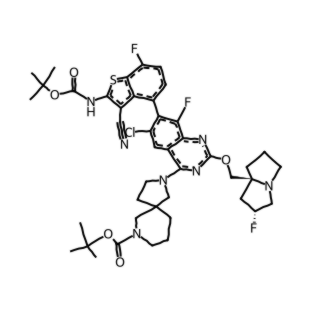 CC(C)(C)OC(=O)Nc1sc2c(F)ccc(-c3c(Cl)cc4c(N5CCC6(CCCN(C(=O)OC(C)(C)C)C6)C5)nc(OC[C@@]56CCCN5C[C@H](F)C6)nc4c3F)c2c1C#N